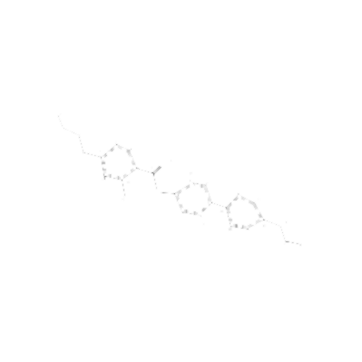 CCCCc1ccc(C(=O)Oc2cnc(-c3ccc(CCC)cc3)cn2)c(F)c1